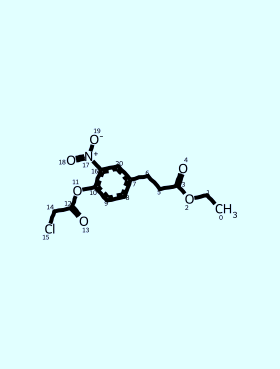 CCOC(=O)CCc1ccc(OC(=O)CCl)c([N+](=O)[O-])c1